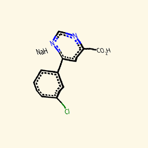 O=C(O)c1cc(-c2cccc(Cl)c2)ncn1.[NaH]